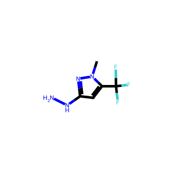 Cn1nc(NN)cc1C(F)(F)F